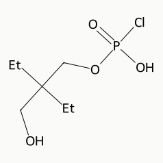 CCC(CC)(CO)COP(=O)(O)Cl